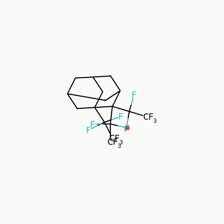 FC(F)(F)C(F)(F)C12CC3CC(CC(C3)C1(C(F)(F)C(F)(F)F)C(F)(F)C(F)(F)F)C2